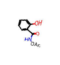 CC(=O)ONC(=O)c1ccccc1O